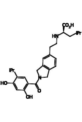 CC(C)C[C@@H](NCCc1ccc2c(c1)CN(C(=O)c1cc(C(C)C)c(O)cc1O)C2)C(=O)O